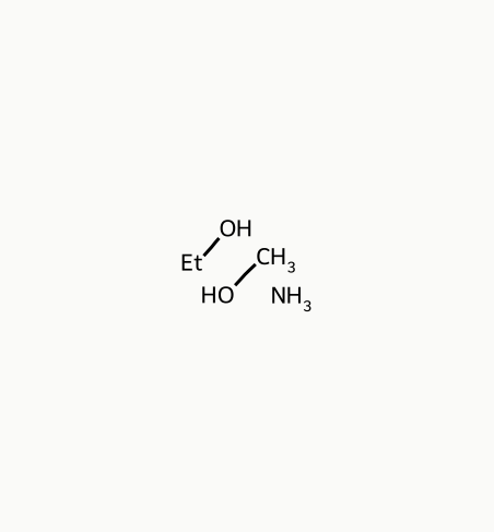 CCO.CO.N